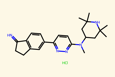 CN(c1ccc(-c2ccc3c(c2)CCC3=N)nn1)C1CC(C)(C)NC(C)(C)C1.Cl